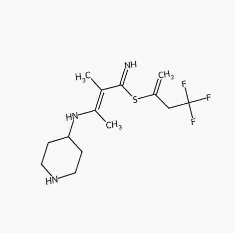 C=C(CC(F)(F)F)SC(=N)/C(C)=C(\C)NC1CCNCC1